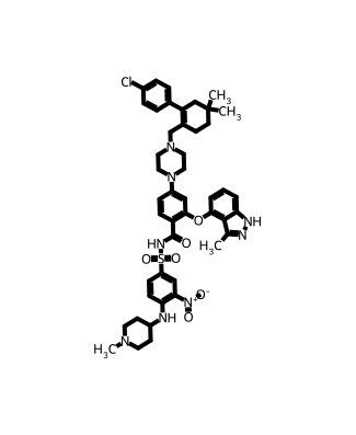 Cc1n[nH]c2cccc(Oc3cc(N4CCN(CC5=C(c6ccc(Cl)cc6)CC(C)(C)CC5)CC4)ccc3C(=O)NS(=O)(=O)c3ccc(NC4CCN(C)CC4)c([N+](=O)[O-])c3)c12